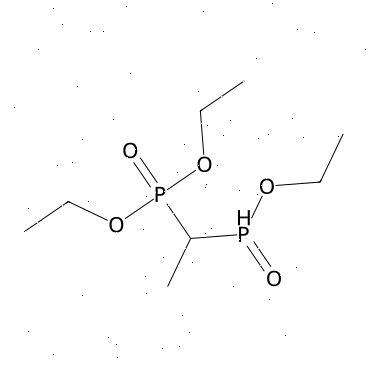 CCO[PH](=O)C(C)P(=O)(OCC)OCC